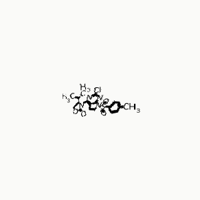 Cc1ccc(S(=O)(=O)n2ccc3c(N4C(=O)OC[C@@H]4C(C)C)nc(Cl)nc32)cc1